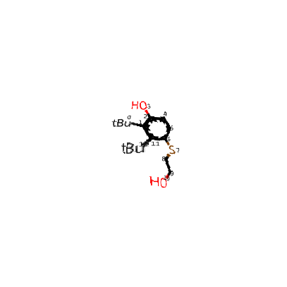 CC(C)(C)c1c(O)ccc(SCCO)c1C(C)(C)C